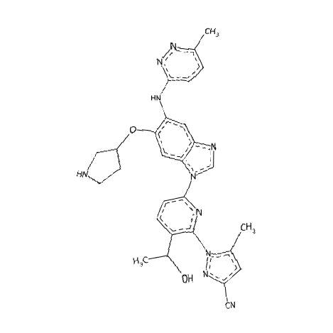 Cc1ccc(Nc2cc3ncn(-c4ccc(C(C)O)c(-n5nc(C#N)cc5C)n4)c3cc2OC2CCNC2)nn1